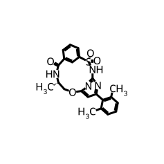 Cc1cccc(C)c1-c1cc2nc(n1)NS(=O)(=O)c1cccc(c1)C(=O)N[C@@H](C)CO2